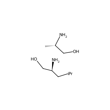 CC(C)C[C@H](N)CO.C[C@H](N)CO